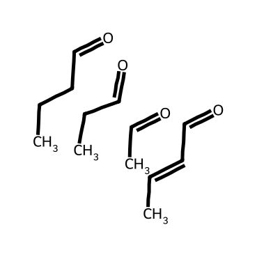 C/C=C/C=O.CC=O.CCC=O.CCCC=O